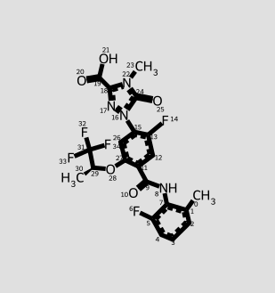 Cc1cccc(F)c1NC(=O)c1cc(F)c(-n2nc(C(=O)O)n(C)c2=O)cc1O[C@@H](C)C(F)(F)F